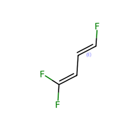 F/C=C/C=C(F)F